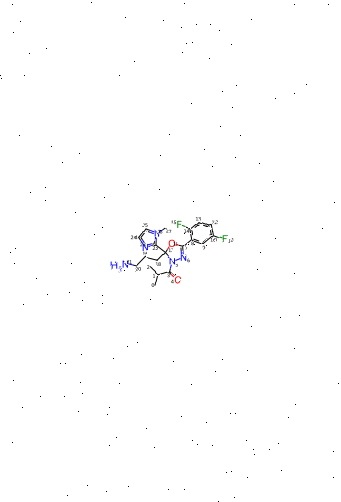 CC(C)C(=O)N1N=C(c2cc(F)ccc2F)OC1(CCCN)c1nccn1C